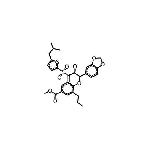 CCCc1cc(C(=O)OC)ccc1OC(C(=O)NS(=O)(=O)c1ccc(CC(C)C)s1)c1ccc2c(c1)OCO2